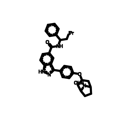 CC(C)CC(NC(=O)c1ccc2[nH]nc(-c3ccc(OC4CC5CCC(C4)N5C=O)cc3)c2c1)c1ccccc1